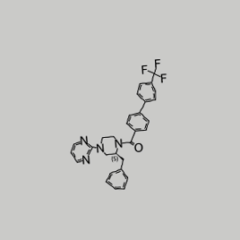 O=C(c1ccc(-c2ccc(C(F)(F)F)cc2)cc1)N1CCN(c2ncccn2)C[C@@H]1Cc1ccccc1